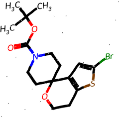 CC(C)(C)OC(=O)N1CCC2(CC1)OCCc1sc(Br)cc12